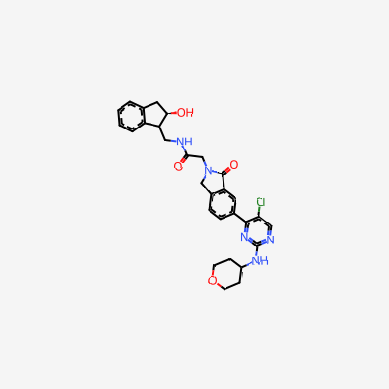 O=C(CN1Cc2ccc(-c3nc(NC4CCOCC4)ncc3Cl)cc2C1=O)NCC1c2ccccc2C[C@H]1O